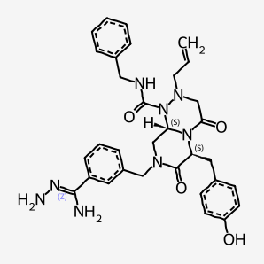 C=CCN1CC(=O)N2[C@@H](Cc3ccc(O)cc3)C(=O)N(Cc3cccc(/C(N)=N/N)c3)C[C@@H]2N1C(=O)NCc1ccccc1